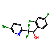 OC(c1ccc(F)cc1F)C(F)(F)c1ccc(Br)cn1